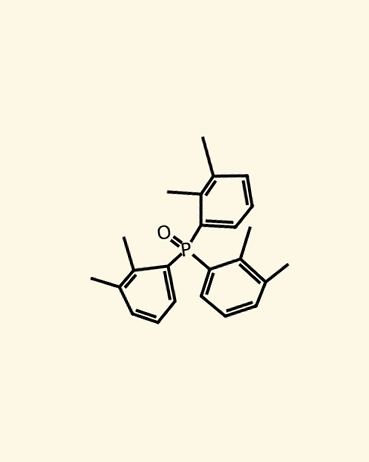 Cc1cccc(P(=O)(c2cccc(C)c2C)c2cccc(C)c2C)c1C